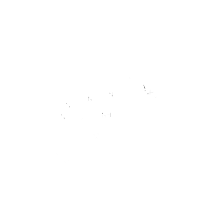 N[C@@H]1c2ccccc2CC12CCN(c1nc3[nH]nc(C4=CCOc5ccccc54)c3c(=O)[nH]1)CC2